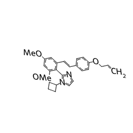 C=CCOc1ccc(C=Cc2cc(OC)cc(OC)c2-c2nccn2C2CCC2)cc1